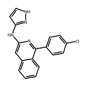 Clc1ccc(-c2nc(Nc3cc[nH]n3)cc3ccccc23)cc1